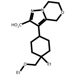 CCOCC1(CC)CCC(c2c(C(=O)O)nn3c2COCC3)CC1